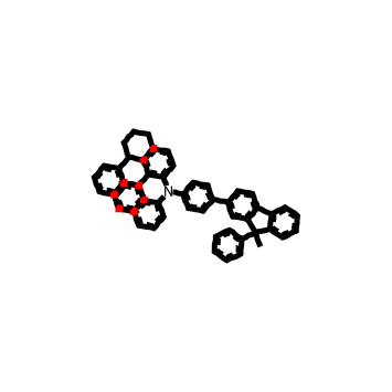 CC1(c2ccccc2)c2ccccc2-c2ccc(-c3ccc(N(c4ccccc4-c4cccc5cccc(C6CCCCC6)c45)c4cccc5ccccc45)cc3)cc21